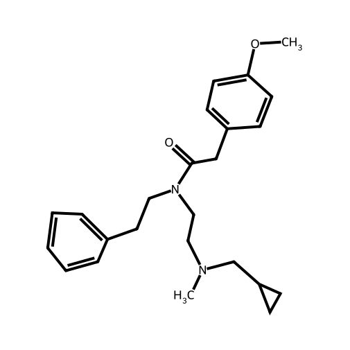 COc1ccc(CC(=O)N(CCc2ccccc2)CCN(C)CC2CC2)cc1